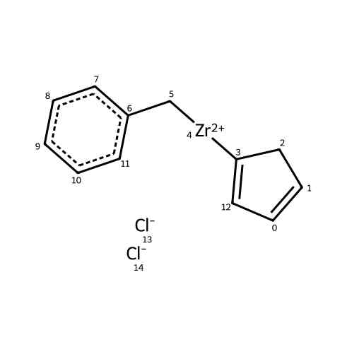 C1=CC[C]([Zr+2][CH2]c2ccccc2)=C1.[Cl-].[Cl-]